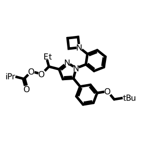 CCC(OOC(=O)C(C)C)c1cc(-c2cccc(OCC(C)(C)C)c2)n(-c2ccccc2N2CCC2)n1